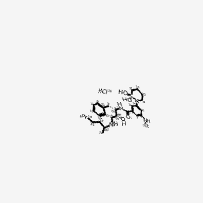 CCNc1cc(C(=O)N[C@@H](Cc2ccccc2)[C@H](O)CNC(C)CCC(C)C)cc(N2CCCCS2(O)O)c1.Cl